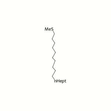 CCCCCCCCCCCCCCCCCSC